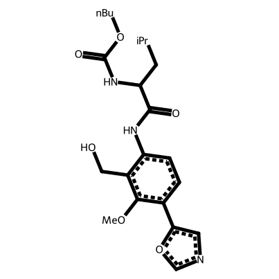 CCCCOC(=O)NC(CC(C)C)C(=O)Nc1ccc(-c2cnco2)c(OC)c1CO